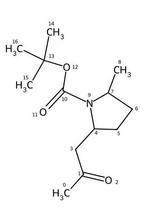 CC(=O)CC1CCC(C)N1C(=O)OC(C)(C)C